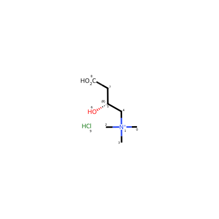 C[N+](C)(C)C[C@H](O)CC(=O)O.Cl